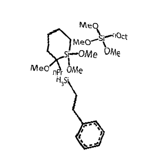 CCCC1(OC)CCCC[Si]1(OC)OC.CCCCCCCC[Si](OC)(OC)OC.[SiH3]CCc1ccccc1